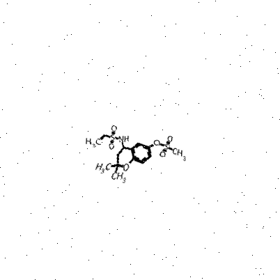 CCS(=O)(=O)NC1CC(C)(C)Oc2ccc(OS(C)(=O)=O)cc21